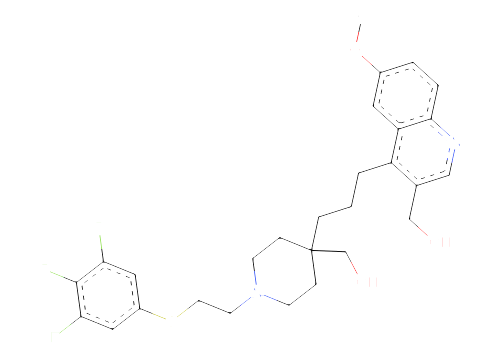 COc1ccc2ncc(CO)c(CCCC3(CO)CCN(CCSc4cc(F)c(F)c(F)c4)CC3)c2c1